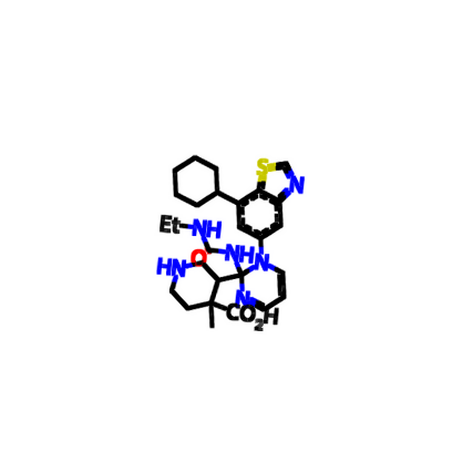 CCNC(=O)NC1(C2CNCCC2(C)C(=O)O)N=CC=CN1c1cc(C2CCCCC2)c2scnc2c1